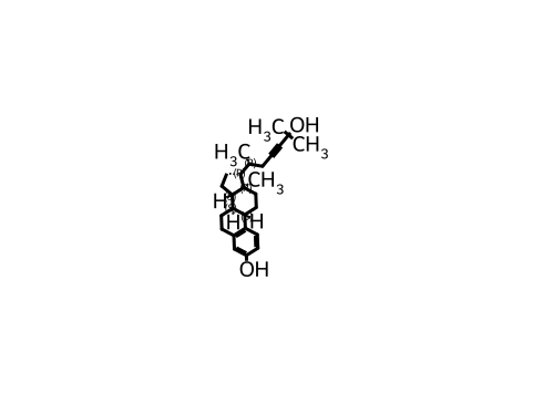 C[C@H](CC#CC(C)(C)O)[C@H]1CC[C@H]2[C@@H]3CCc4cc(O)ccc4[C@H]3CC[C@]12C